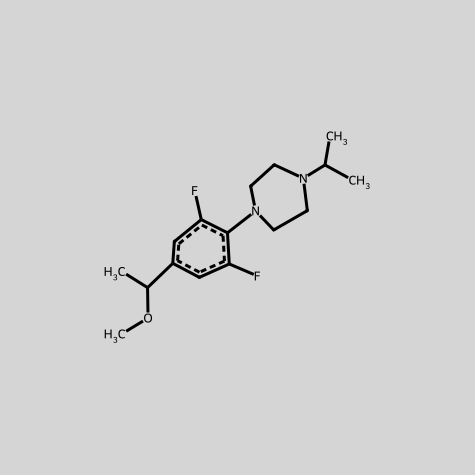 COC(C)c1cc(F)c(N2CCN(C(C)C)CC2)c(F)c1